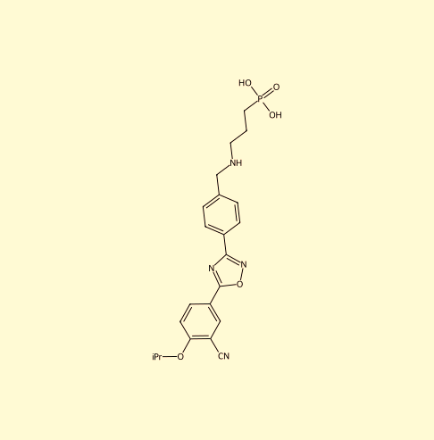 CC(C)Oc1ccc(-c2nc(-c3ccc(CNCCCP(=O)(O)O)cc3)no2)cc1C#N